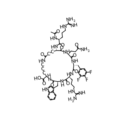 CC(=O)N[C@@H](CCCNC(=N)N)C(=O)N[C@H]1CCC(=O)NCCCC(C(=O)O)NC(=O)[C@H](Cc2c[nH]c3ccccc23)NC(=O)[C@H](CCCNC(=N)N)NC(=O)[C@@H](Cc2cc(F)c(F)c(F)c2)NC(=O)[C@H](CCC(N)=O)NC1=O